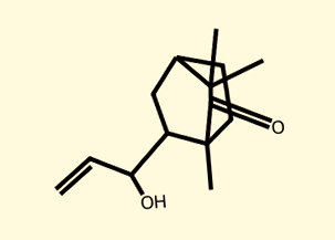 C=CC(O)C1CC2CCC1(C)C(=O)C2(C)C